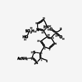 CC(=O)Nc1nc(C)c(-c2ccc(S(C)(=O)=O)c(-c3ncc[nH]3)c2)s1.O=S(=O)(O)O